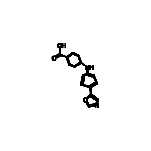 O=C(O)[C@H]1CC[C@H](Nc2ccc(-c3cnco3)cc2)CC1